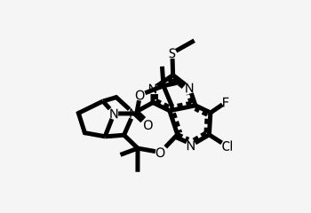 CSc1nc2c3c(nc(Cl)c(F)c3n1)OC(C)(C)C1C3CCC(CN21)N3C(=O)OC(C)(C)C